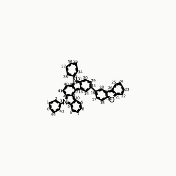 c1ccc(-n2c3ccccc3c3c4c5cc(-c6ccc7oc8ccccc8c7c6)ccc5n(-c5ccccc5)c4ccc32)cc1